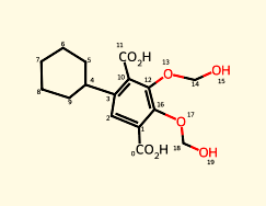 O=C(O)c1cc(C2CCCCC2)c(C(=O)O)c(OCO)c1OCO